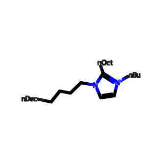 CCCCCCCCCCCCCCn1cc[n+](CCCC)c1CCCCCCCC